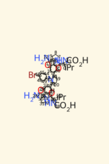 CC(C)[C@H](NC(=O)O)C(=O)N1CCC[C@@]1(C(N)=O)c1ccc([C@H]2CC[C@H](c3ccc([C@]4(C(N)=O)CCCN4C(=O)[C@@H](NC(=O)O)C(C)C)cc3)N2c2ccc(Br)cc2)cc1